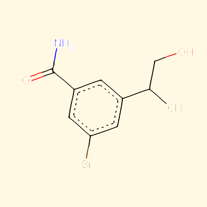 C[C](CO)c1cc(Br)cc(C(N)=O)c1